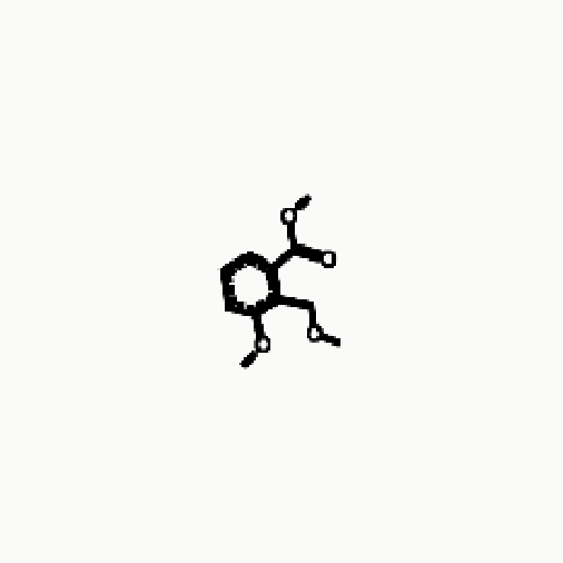 COCc1c(OC)cccc1C(=O)OC